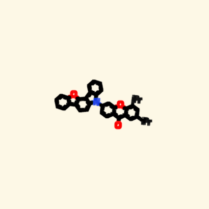 CC(C)c1cc(C(C)C)c2oc3cc(-n4c5ccccc5c5c6oc7ccccc7c6ccc54)ccc3c(=O)c2c1